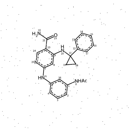 CC(=O)Nc1cccc(Nc2cc(NC3(c4ccccc4)CC3)c(C(N)=O)cn2)c1